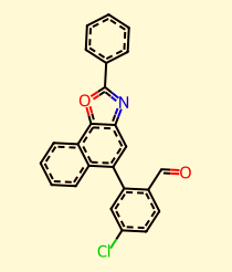 O=Cc1ccc(Cl)cc1-c1cc2nc(-c3ccccc3)oc2c2ccccc12